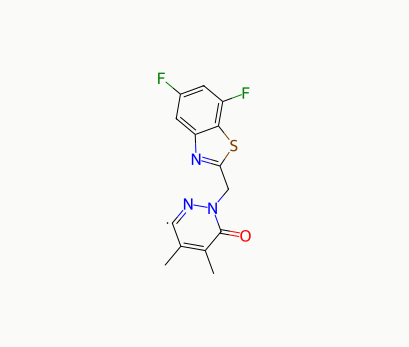 Cc1[c]nn(Cc2nc3cc(F)cc(F)c3s2)c(=O)c1C